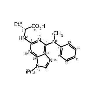 CC[C@@H](Nc1nc(N(C)c2ccccc2)c2ncn(C(C)C)c2n1)C(=O)O